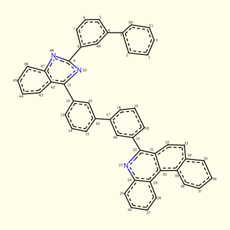 c1ccc(-c2cccc(-c3nc(-c4cccc(-c5cccc(-c6nc7ccccc7c7c6ccc6ccccc67)c5)c4)c4ccccc4n3)c2)cc1